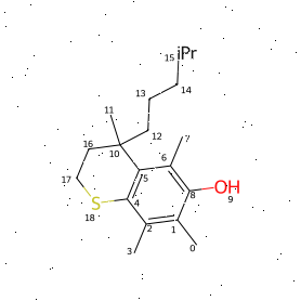 Cc1c(C)c2c(c(C)c1O)C(C)(CCCC(C)C)CCS2